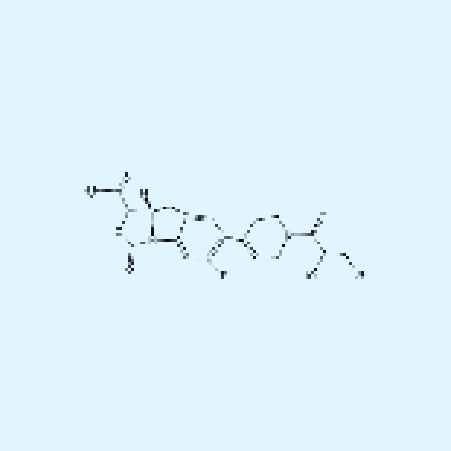 NC(=O)C1OC(=O)N2c3cc(F)c(C4=CCN(C(=O)C(O)CO)CC4)cc3C[C@@H]12